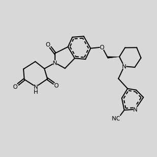 N#Cc1cc(CN2CCCC[C@@H]2COc2ccc3c(c2)CN(C2CCC(=O)NC2=O)C3=O)ccn1